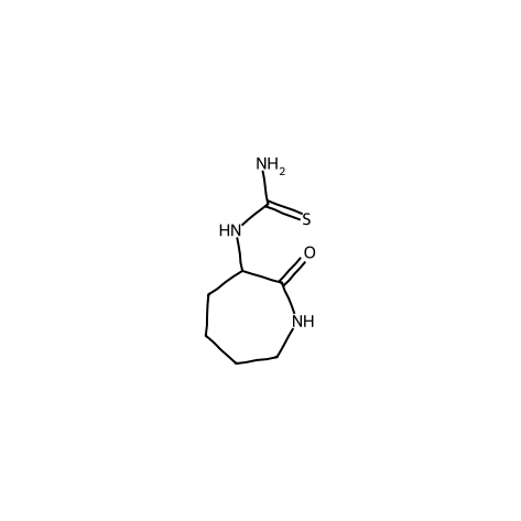 NC(=S)NC1CCCCNC1=O